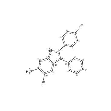 Nc1nc2[nH]c(-c3ccc(F)cc3)c(-c3ccncc3)c2cc1Br